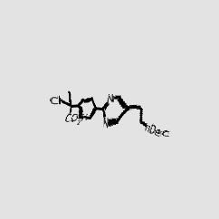 CCCCCCCCCCCCc1cnc(-c2ccc([C@@](C)(Cl)C(=O)O)cc2)nc1